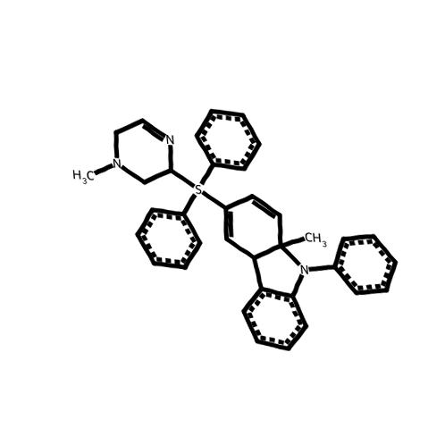 CN1CC=NC(S(C2=CC3c4ccccc4N(c4ccccc4)C3(C)C=C2)(c2ccccc2)c2ccccc2)C1